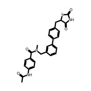 CC(=O)Nc1ccc(C(=O)N(C)Cc2cccc(-c3ccc(CC4SC(=O)NC4=O)cc3)c2)cc1